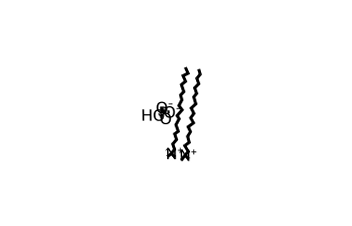 CCCCCCCCCCCCCCCCCC[N+](C)(C)C.CCCCCCCCCCCCCCCCCC[N+](C)(C)C.O=P([O-])([O-])O